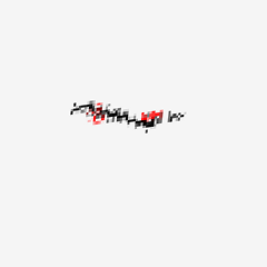 CCCCCC/C=C\C(O)CCCCCCCCC(=O)OC(=O)CC(C)=O